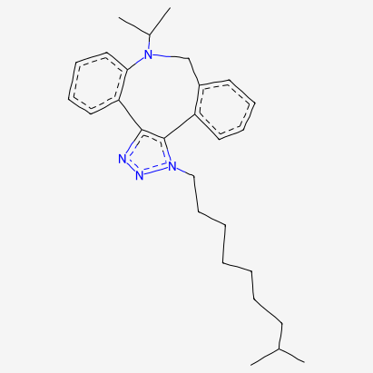 CC(C)CCCCCCCn1nnc2c1-c1ccccc1CN(C(C)C)c1ccccc1-2